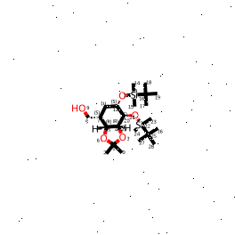 CC1(C)O[C@@H]2[C@H](O1)[C@H](CO)C[C@H](O[Si](C)(C)C(C)(C)C)[C@H]2O[Si](C)(C)C(C)(C)C